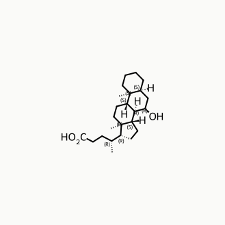 C[C@H](CCC(=O)O)[C@H]1CC[C@H]2[C@@H]3[C@H](O)C[C@@H]4CCCC[C@]4(C)[C@H]3CC[C@]12C